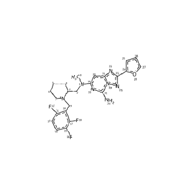 CN(CC1CCCCN1Cc1c(F)ccc(F)c1F)c1cc2nc(-c3ccco3)nn2c(N)n1